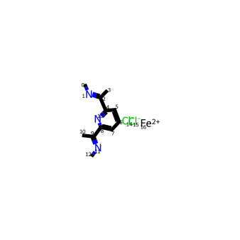 CN=C(C)c1cccc(C(C)=NC)n1.[Cl-].[Cl-].[Fe+2]